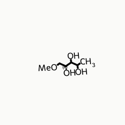 COC[C@@H](O)C(O)C(C)O